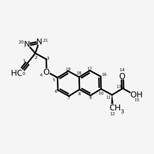 C#CC1(COc2ccc3cc([C@H](C)C(=O)O)ccc3c2)N=N1